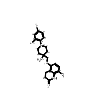 NC1(COc2ccc(Cl)c3c2CCC(=O)N3)CCN(c2ccc(Cl)cc2Cl)CC1